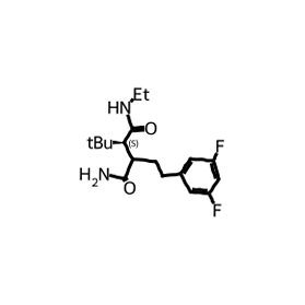 CCNC(=O)[C@@H](C(CCc1cc(F)cc(F)c1)C(N)=O)C(C)(C)C